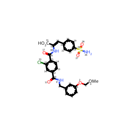 COCOc1cccc(CNC(=O)c2ccc(C(=O)N/C(=C\c3ccc(S(N)(=O)=O)cc3)C(=O)O)c(Cl)c2)c1